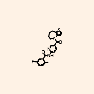 Cc1ccc(F)cc1C(=O)Nc1ccc(C(=O)N2CCCCc3sccc32)cn1